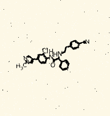 Cn1cc(-c2ccc(NC(=O)C(NCCc3ccc(C#N)cc3)c3ccccc3)c(Cl)c2)cn1